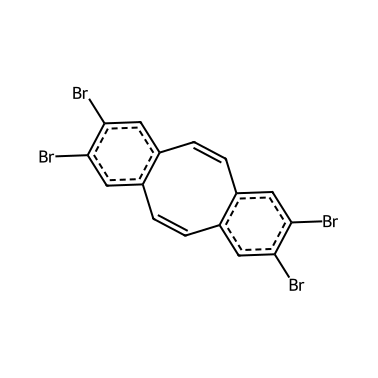 Brc1cc2c(cc1Br)/C=C\c1cc(Br)c(Br)cc1/C=C\2